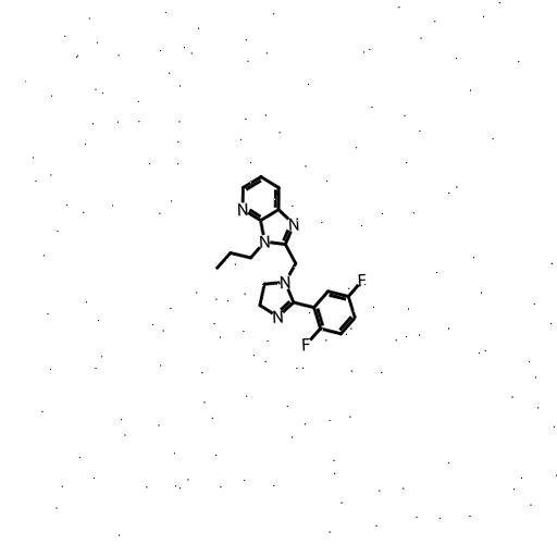 CCCn1c(CN2CCN=C2c2cc(F)ccc2F)nc2cccnc21